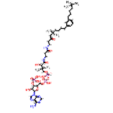 CC(C)(C)CCCCc1cccc(CCCCC(C)(C)CC(=O)CCNC(=O)CCNC(=O)C(O)C(C)(C)COP(=O)(O)OP(=O)(O)OCC2OC(n3cnc4c(N)ncnc43)C(O)C2OP(=O)(O)O)c1